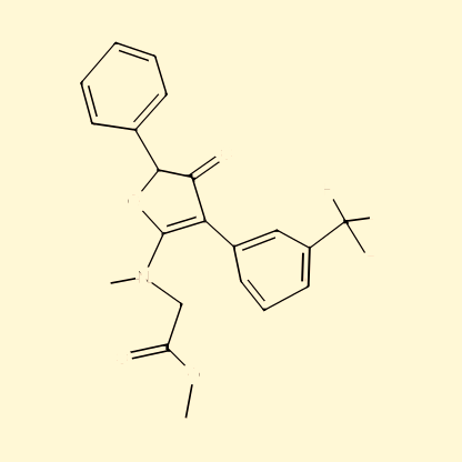 COC(=O)CN(C)C1=C(c2cccc(C(F)(F)F)c2)C(=O)C(c2ccccc2)O1